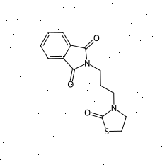 O=C1SCCN1CCCN1C(=O)c2ccccc2C1=O